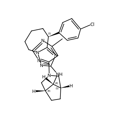 Cc1cc(N2C[C@H]3CC[C@@H](C2)[C@H]3Nc2nc3n(n2)CCCC[C@H]3c2ccc(Cl)cc2)ncn1